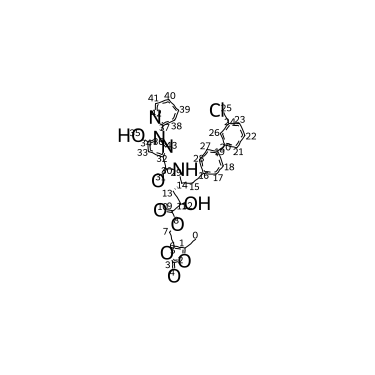 Cc1oc(=O)oc1COC(=O)[C@H](O)C[C@@H](Cc1ccc(-c2cccc(Cl)c2)cc1)NC(=O)c1cc(O)n(-c2ccccn2)n1